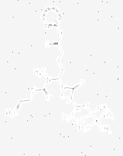 C=CCOC(=O)N(C)C(CCCC(=S)Cc1ccccn1)N1C[C@@H]([C@@H](C)O[Si](C)(C)C(C)(C)C)C1=O